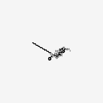 CCCCCCCCCCCCCCCCCCOC[C@H](COP(=O)(O)OC1[C@H]2O[C@@](C#N)(c3ccc4c(N)ncnn34)[C@H](O)[C@@]12O)OCc1ccccc1